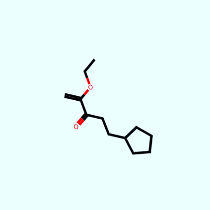 C=C(OCC)C(=O)CCC1CCCC1